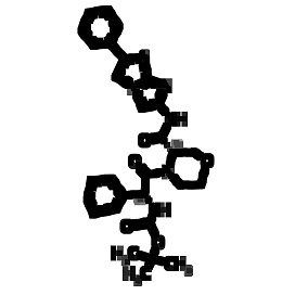 CC(C)(C)OC(=O)N[C@@H](C(=O)N1CCOC[C@H]1C(=O)Nc1cn2cc(-c3ccccc3)sc2n1)c1ccccc1